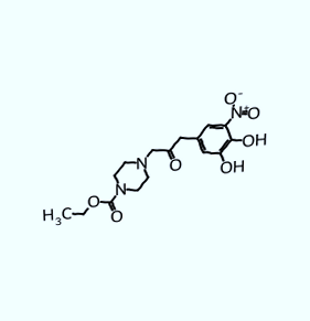 CCOC(=O)N1CCN(CC(=O)Cc2cc(O)c(O)c([N+](=O)[O-])c2)CC1